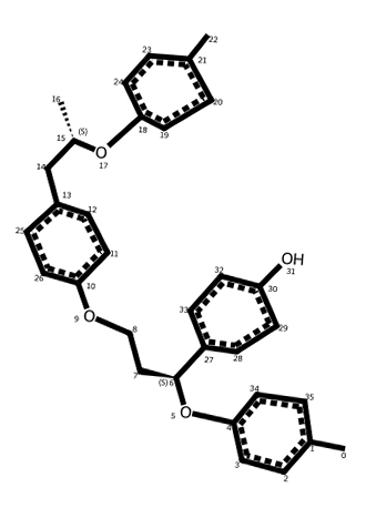 Cc1ccc(O[C@@H](CCOc2ccc(C[C@H](C)Oc3ccc(C)cc3)cc2)c2ccc(O)cc2)cc1